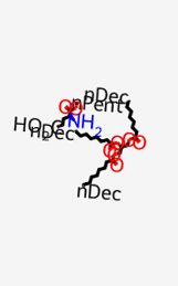 CCCCCCCCCCCCCCCCCC(=O)OCC(COC(=O)CCCCCCCCCCCCCCCCC)OC(=O)CCCCCCCCCCCCCCCCC.CCCCCOC(=O)C(N)CCC(=O)O